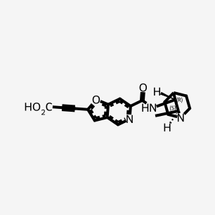 C[C@H]1[C@H](NC(=O)c2cc3oc(C#CC(=O)O)cc3cn2)C2CCN1CC2